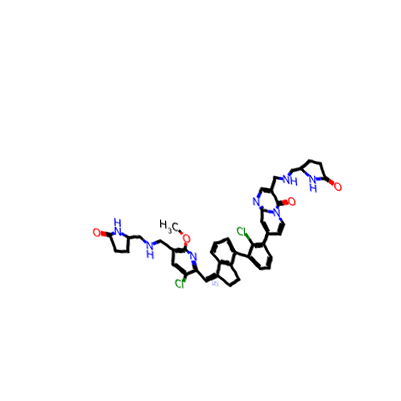 COc1nc(/C=C2/CCc3c2cccc3-c2cccc(-c3ccn4c(=O)c(CNCC5CCC(=O)N5)cnc4c3)c2Cl)c(Cl)cc1CNCC1CCC(=O)N1